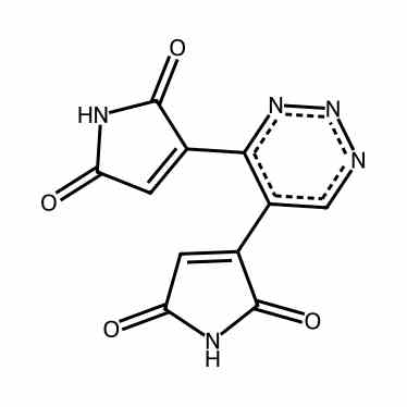 O=C1C=C(c2cnnnc2C2=CC(=O)NC2=O)C(=O)N1